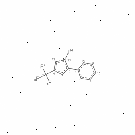 FC(F)(F)c1cc(-c2ccccc2)n(I)c1